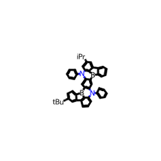 CC(C)c1cc2c3c(c1)N(c1ccccc1)c1cc4c(cc1B3c1ccccc1-2)N(c1ccccc1)c1cccc2c1B4c1ccc(C(C)(C)C)cc1-2